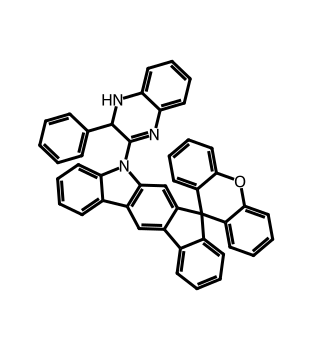 c1ccc(C2Nc3ccccc3N=C2n2c3ccccc3c3cc4c(cc32)C2(c3ccccc3Oc3ccccc32)c2ccccc2-4)cc1